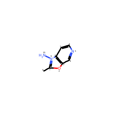 Cc1oc2cnccc2[n+]1N